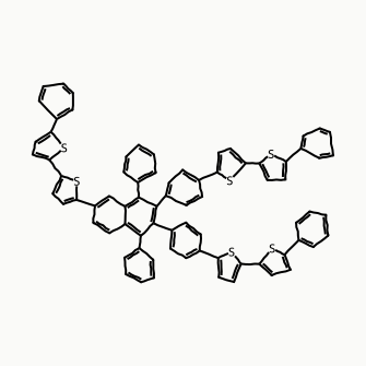 c1ccc(-c2ccc(-c3ccc(-c4ccc(-c5c(-c6ccc(-c7ccc(-c8ccc(-c9ccccc9)s8)s7)cc6)c(-c6ccccc6)c6cc(-c7ccc(-c8ccc(-c9ccccc9)s8)s7)ccc6c5-c5ccccc5)cc4)s3)s2)cc1